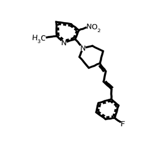 Cc1ccc([N+](=O)[O-])c(N2CCC(=C/C=C/c3cccc(F)c3)CC2)n1